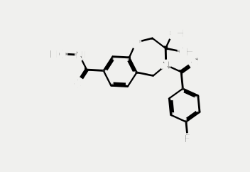 CC1(C)COc2cc(C(=O)NO)ccc2CN1C(=O)c1ccc(F)cc1